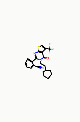 N#Cc1ccccc1-c1nc2scc(C(F)(F)F)c2c(=O)n1CCC1CCCCC1